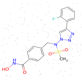 CS(=O)(=O)N(Cc1ccc(C(=O)NO)cc1)n1cc(-c2ccccc2F)nn1